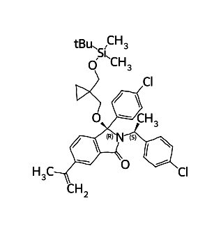 C=C(C)c1ccc2c(c1)C(=O)N([C@@H](C)c1ccc(Cl)cc1)[C@@]2(OCC1(CO[Si](C)(C)C(C)(C)C)CC1)c1ccc(Cl)cc1